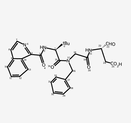 CC(C)(C)[C@H](NC(=O)c1nccc2ccccc12)C(=O)N(CC(=O)N[C@H](C=O)CC(=O)O)Cc1ccccc1